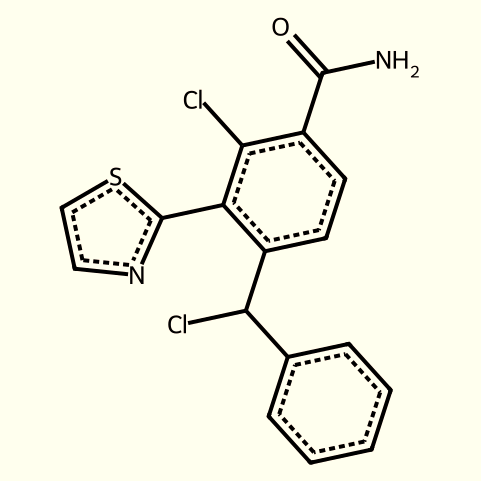 NC(=O)c1ccc(C(Cl)c2ccccc2)c(-c2nccs2)c1Cl